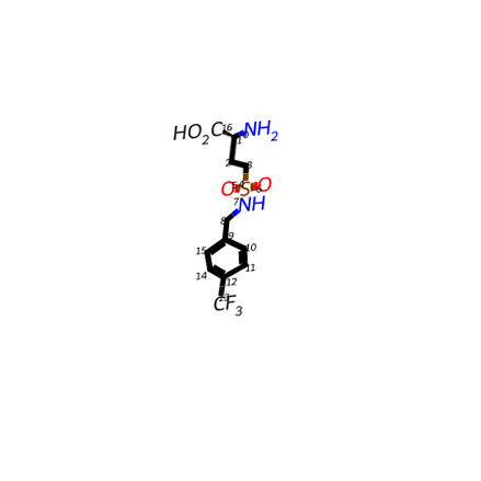 N[C@@H](CCS(=O)(=O)NCc1ccc(C(F)(F)F)cc1)C(=O)O